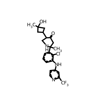 CC1(O)CC(C2CNC(C)(c3cccc(Nc4ccnc(C(F)(F)F)c4)c3Cl)CC2=O)C1